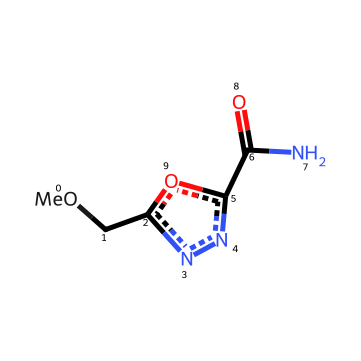 COCc1nnc(C(N)=O)o1